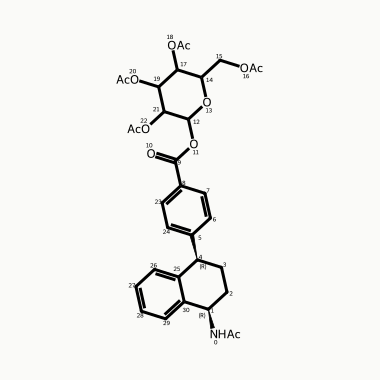 CC(=O)N[C@@H]1CC[C@H](c2ccc(C(=O)OC3OC(COC(C)=O)C(OC(C)=O)C(OC(C)=O)C3OC(C)=O)cc2)c2ccccc21